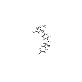 Cc1ccc(S(=O)(=O)Nc2ccc(-c3ncnc4[nH]c(C)cc34)cc2)cc1